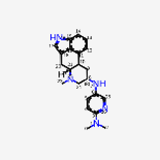 CN(C)c1ccc(N[C@@H]2CC3c4cccc5[nH]cc(c45)C[C@H]3N(C)C2)cn1